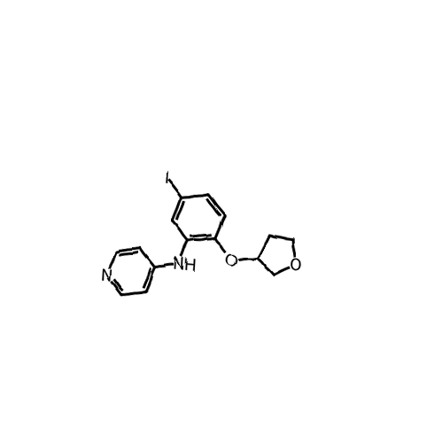 Ic1ccc(OC2CCOC2)c(Nc2ccncc2)c1